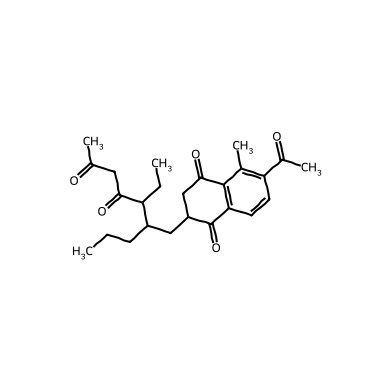 CCCC(CC1CC(=O)c2c(ccc(C(C)=O)c2C)C1=O)C(CC)C(=O)CC(C)=O